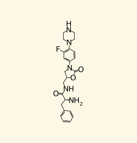 N[C@@H](Cc1ccccc1)C(=O)NCC1CN(c2ccc(N3CCNCC3)c(F)c2)C(=O)O1